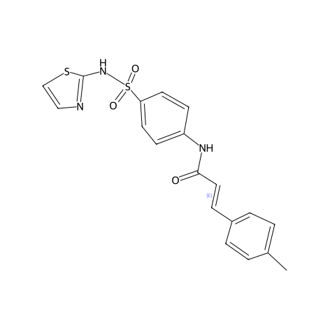 Cc1ccc(/C=C/C(=O)Nc2ccc(S(=O)(=O)Nc3nccs3)cc2)cc1